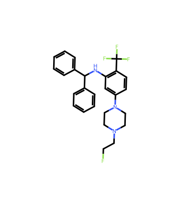 FCCN1CCN(c2ccc(C(F)(F)F)c(NC(c3ccccc3)c3ccccc3)c2)CC1